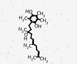 CC(C)=CCC/C(C)=C/CC[C@](C)(O)CCc1c(C)c(O)c(C)c(C)c1O